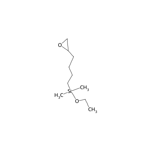 CCO[Si](C)(C)CCCCC1CO1